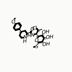 COc1ccc([C@@H]2CCN[C@H](C(=O)NC([C@H](C)Cl)[C@H]3O[C@H](SC)[C@H](O)[C@@H](O)[C@H]3O)C2)cc1